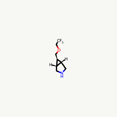 FC(F)(F)COC[C@H]1[C@@H]2CNC[C@@H]21